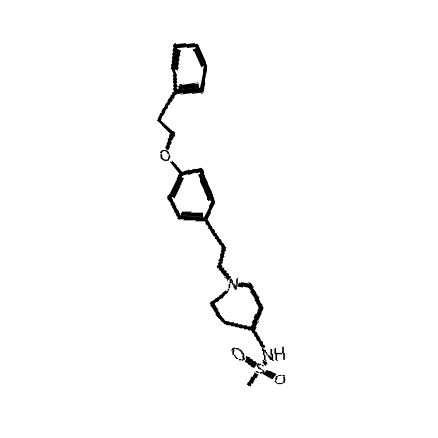 CS(=O)(=O)NC1CCN(CCc2ccc(OCCc3ccccc3)cc2)CC1